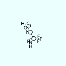 COC(=O)c1ccc(-c2cc(C(F)(F)F)cc3[nH]ncc23)cn1